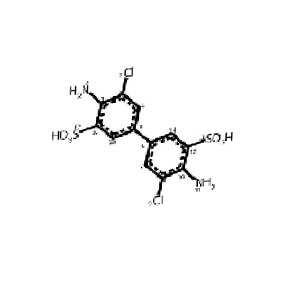 Nc1c(Cl)cc(-c2cc(Cl)c(N)c(S(=O)(=O)O)c2)cc1S(=O)(=O)O